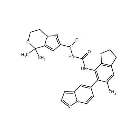 Cc1cc2c(c(NC(=O)N[S+]([O-])c3cc4n(n3)CCOC4(C)C)c1-c1ccn3nccc3c1)CCC2